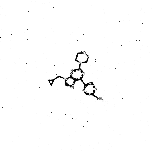 Nc1cnc(-c2nc(N3CCOCC3)nc3c2ncn3CC2CC2)cn1